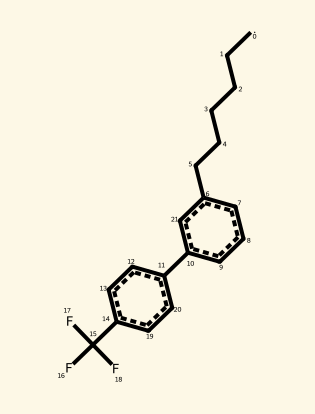 [CH2]CCCCCc1cccc(-c2ccc(C(F)(F)F)cc2)c1